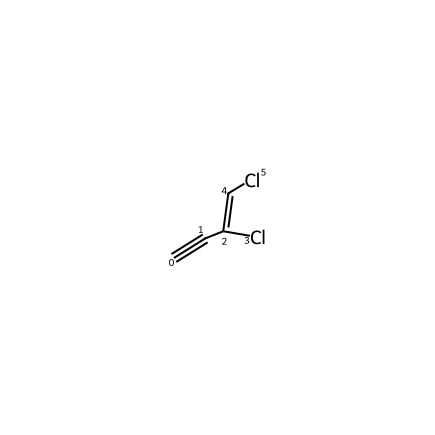 C#C/C(Cl)=C/Cl